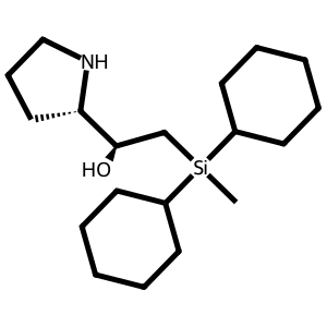 C[Si](C[C@@H](O)[C@@H]1CCCN1)(C1CCCCC1)C1CCCCC1